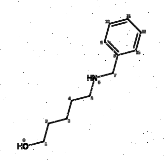 OCCCCCNCc1ccccc1